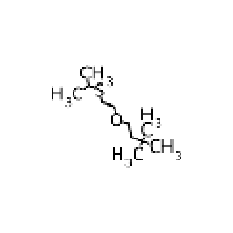 CC(C)SCCOCCC(C)(C)C